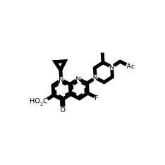 CC(=O)CN1CCN(c2nc3c(cc2F)c(=O)c(C(=O)O)cn3C2CC2)CC1C